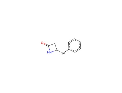 O=C1CC([Se]c2ccccc2)N1